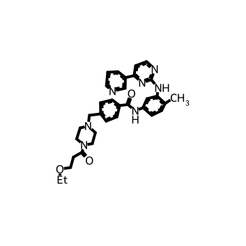 CCOCCC(=O)N1CCN(Cc2ccc(C(=O)Nc3ccc(C)c(Nc4nccc(-c5cccnc5)n4)c3)cc2)CC1